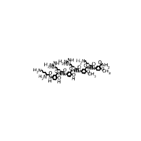 COc1ccc(NC(=O)[C@@H](CCCN)NC(=O)c2cc(NC(=O)[C@@H](CCCNC(=N)N)NC(=O)c3cc(NC(=O)[C@@H](CCCNC(=N)N)NC(=O)c4cc(NC(=O)[C@H](N)CCCN)ccc4O)ccc3O)ccc2OC)cc1C(N)=O